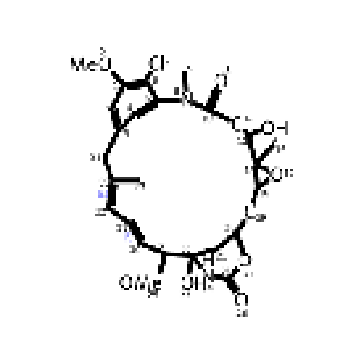 COc1cc2cc(c1Cl)N(C)C(=O)CC(O)C1(C)OC1CC1CC(O)(NC(=O)O1)C(OC)/C=C/C=C(\C)C2